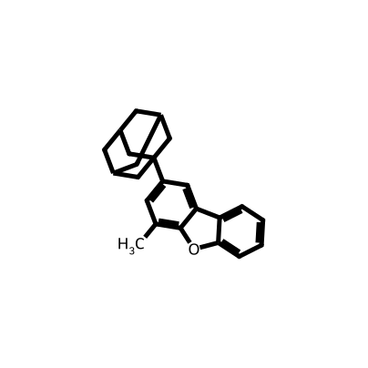 Cc1cc(C23CC4CC(CC(C4)C2)C3)cc2c1oc1ccccc12